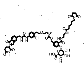 CN(CCOCCc1ccc(NC(=O)NCc2ccc3c(c2)CN(C2CCC(=O)NC2=O)C3=O)cc1Cl)C(=O)OCc1ccc(O[C@@H]2O[C@H](C(=O)O)[C@@H](O)[C@H](O)[C@H]2O)c(C(=O)NCCNC(=O)CCCCCN2C(=O)C=CC2=O)c1